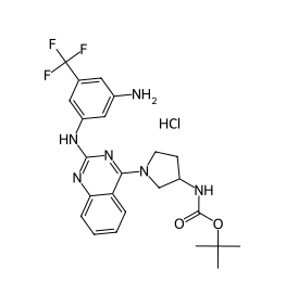 CC(C)(C)OC(=O)NC1CCN(c2nc(Nc3cc(N)cc(C(F)(F)F)c3)nc3ccccc23)C1.Cl